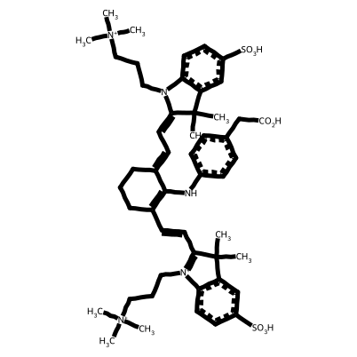 CC1(C)C(/C=C/C2=C(Nc3ccc(CC(=O)O)cc3)C(=C/C=C3/N(CCC[N+](C)(C)C)c4ccc(S(=O)(=O)O)cc4C3(C)C)/CCC2)=[N+](CCC[N+](C)(C)C)c2ccc(S(=O)(=O)O)cc21